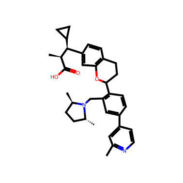 Cc1cc(-c2ccc(C3CCc4ccc([C@H](C5CC5)[C@H](C)C(=O)O)cc4O3)c(CN3[C@H](C)CC[C@H]3C)c2)ccn1